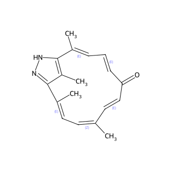 CC1=C/C=C(\C)c2n[nH]c(c2C)/C(C)=C/C=C/C(=O)\C=C\1